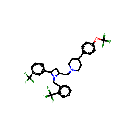 FC(F)(F)Oc1ccc(C2CCN(CC3CC(c4cccc(C(F)(F)F)c4)N3Cc3ccccc3C(F)(F)F)CC2)cc1